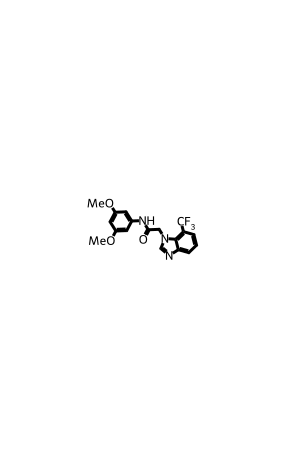 COc1cc(NC(=O)Cn2cnc3cccc(C(F)(F)F)c32)cc(OC)c1